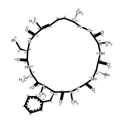 CCC(C)[C@@H]1NC(=O)CN(C)C(=O)[C@@H](Cc2ccccc2)N(C)C(=O)[C@H](C)NC(=O)[C@@H](CC(C)C)OC(=O)/C(C)=C/CC[C@H](C)COC(=O)[C@@H](C)NC1=O